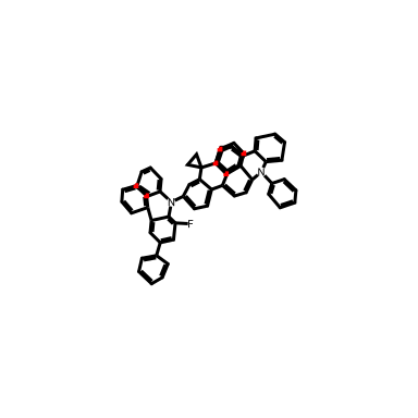 Fc1cc(-c2ccccc2)cc(-c2ccccc2)c1N(c1ccccc1)c1ccc2c(c1)C1(CC1)c1cccc3c(N(c4ccccc4)c4ccccc4-c4ccccc4)ccc-2c13